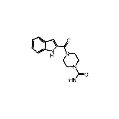 [NH]C(=O)N1CCN(C(=O)c2cc3ccccc3[nH]2)CC1